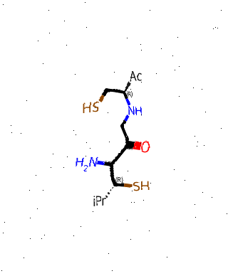 CC(=O)[C@H](CS)NCC(=O)C(N)[C@H](S)C(C)C